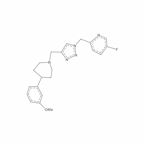 COc1cccc(C2CCN(Cc3cn(Cc4ccc(F)cn4)nn3)CC2)c1